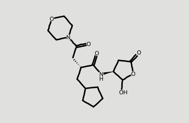 O=C1C[C@H](NC(=O)[C@@H](CC(=O)N2CCOCC2)CC2CCCC2)C(O)O1